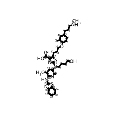 CNCCCc1ccc(OCCCc2sc(N(CCCCO)c3cc(C)c(Nc4nc5ccccc5s4)nn3)nc2C(=O)O)c(F)c1